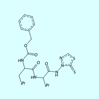 CC(C)CC(NC(=O)OCc1ccccc1)C(=O)NC(C(=O)Nn1ncsc1=S)C(C)C